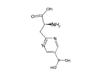 N[C@@H](Cc1ncc(B(O)O)cn1)C(=O)O